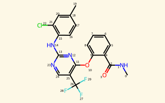 CNC(=O)c1ccccc1Oc1nc(Nc2ccc(C)cc2Cl)ncc1C(F)(F)F